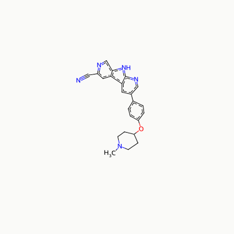 CN1CCC(Oc2ccc(-c3cnc4[nH]c5cnc(C#N)cc5c4c3)cc2)CC1